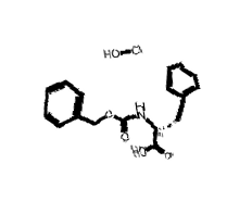 O=C(N[C@H](Cc1ccccc1)C(=O)O)OCc1ccccc1.OCl